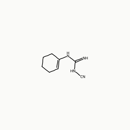 N#CNC(=N)NC1=CCCCC1